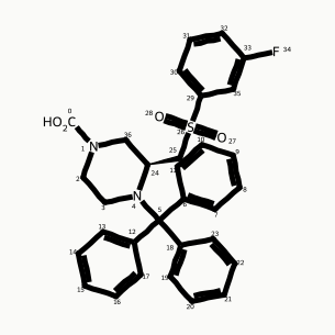 O=C(O)N1CCN(C(c2ccccc2)(c2ccccc2)c2ccccc2)[C@H](CS(=O)(=O)c2cccc(F)c2)C1